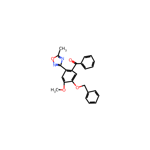 COc1cc(-c2noc(C)n2)c(C(=O)c2ccccc2)cc1OCc1ccccc1